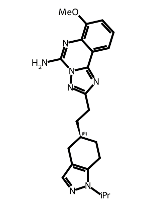 COc1cccc2c1nc(N)n1nc(CC[C@H]3CCc4c(cnn4C(C)C)C3)nc21